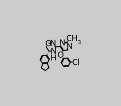 Cc1ncc(Oc2cccc(Cl)c2)c(C2=NOC[C@@H](c3ccc4c(c3)CCC4)N2)n1